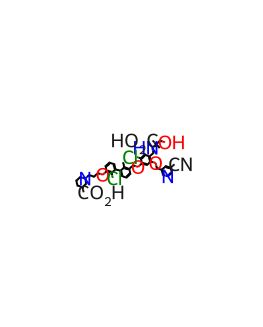 Cc1c(COc2cc(OCc3cncc(C#N)c3)c(CNC(C)(CO)C(=O)O)cc2Cl)cccc1-c1cccc(OCCCN2CCCC(C(=O)O)C2)c1Cl